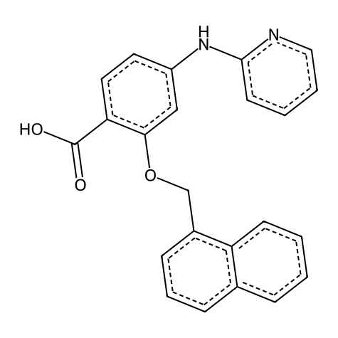 O=C(O)c1ccc(Nc2ccccn2)cc1OCc1cccc2ccccc12